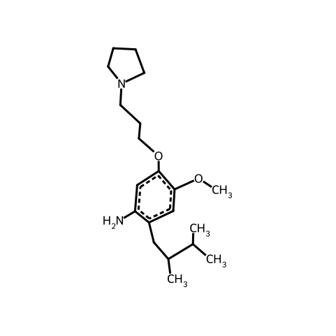 COc1cc(CC(C)C(C)C)c(N)cc1OCCCN1CCCC1